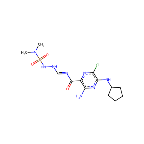 CN(C)S(=O)(=O)NNC=NC(=O)c1nc(Cl)c(NC2CCCC2)nc1N